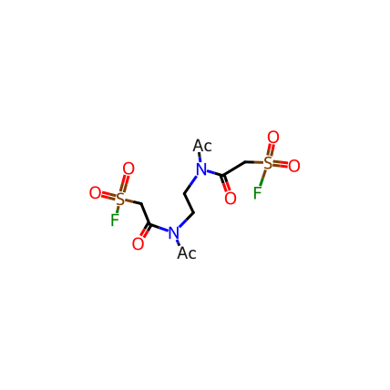 CC(=O)N(CCN(C(C)=O)C(=O)CS(=O)(=O)F)C(=O)CS(=O)(=O)F